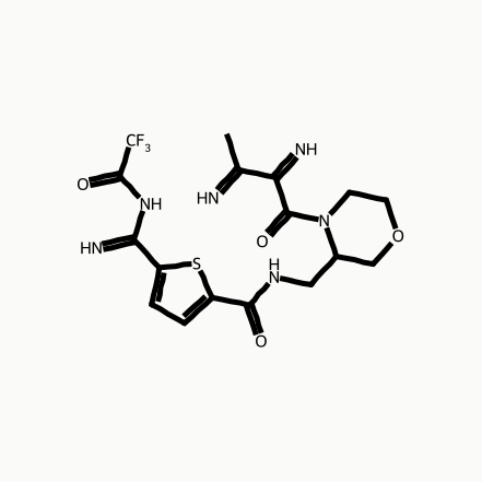 CC(=N)C(=N)C(=O)N1CCOCC1CNC(=O)c1ccc(C(=N)NC(=O)C(F)(F)F)s1